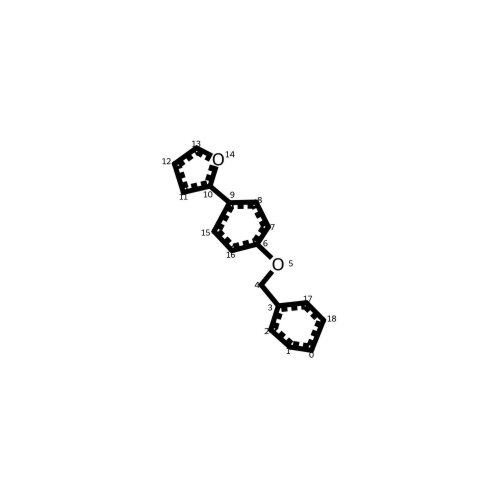 c1ccc(COc2ccc(-c3ccco3)cc2)cc1